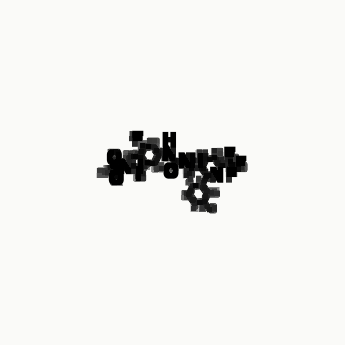 Cc1cccc(-c2nc(C(F)(F)F)ccc2CNC(=O)Nc2cc(F)c(CNS(C)(=O)=O)c(F)c2)c1